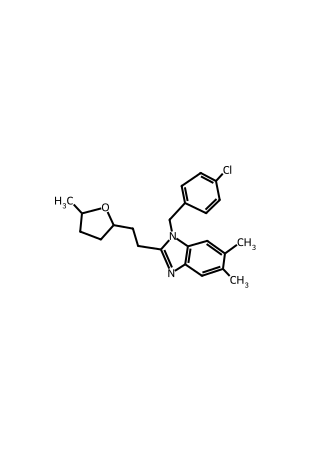 Cc1cc2nc(CCC3CCC(C)O3)n(Cc3ccc(Cl)cc3)c2cc1C